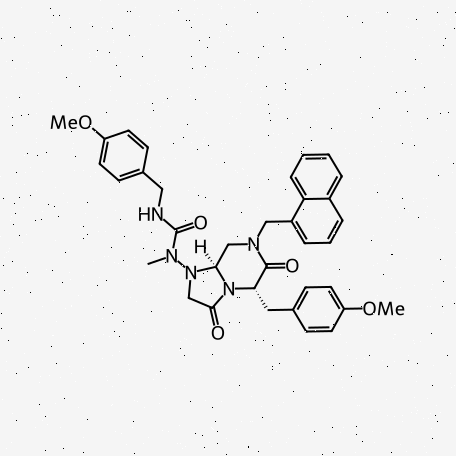 COc1ccc(CNC(=O)N(C)N2CC(=O)N3[C@@H](Cc4ccc(OC)cc4)C(=O)N(Cc4cccc5ccccc45)C[C@@H]32)cc1